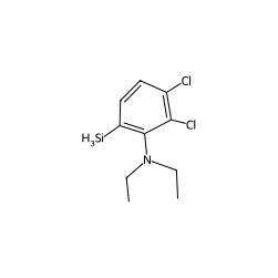 CCN(CC)c1c([SiH3])ccc(Cl)c1Cl